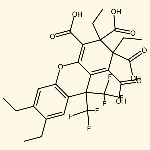 CCc1cc2c(cc1CC)C(C(F)(F)F)(C(F)(F)F)C1=C(C(=O)O)C(CC)(C(=O)O)C(CC)(C(=O)O)C(C(=O)O)=C1O2